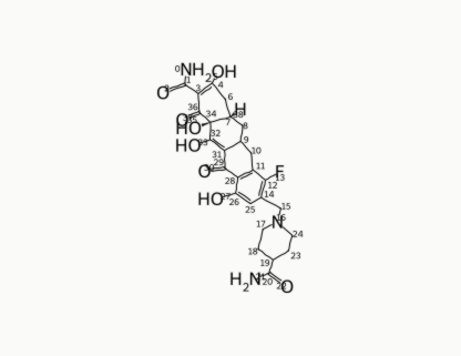 NC(=O)C1=C(O)C[C@@H]2CC3Cc4c(F)c(CN5CCC(C(N)=O)CC5)cc(O)c4C(=O)C3=C(O)[C@]2(O)C1=O